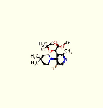 CCC(C)(C)OC(C(=O)OC(C)C)c1c(C)ncc(Br)c1N1CCC(C)(C)CC1